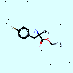 CCOC(=O)C(C)(N)Cc1ccc(Br)cc1